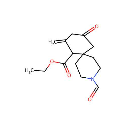 C=C1CC(=O)CC2(CCN(C=O)CC2)C1C(=O)OCC